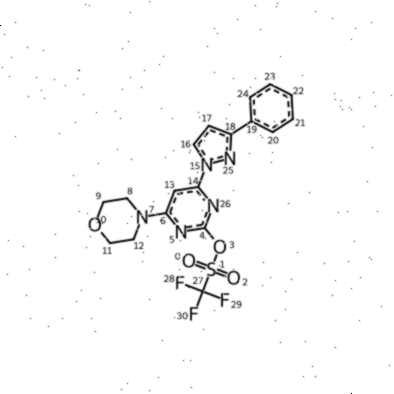 O=S(=O)(Oc1nc(N2CCOCC2)cc(-n2ccc(-c3ccccc3)n2)n1)C(F)(F)F